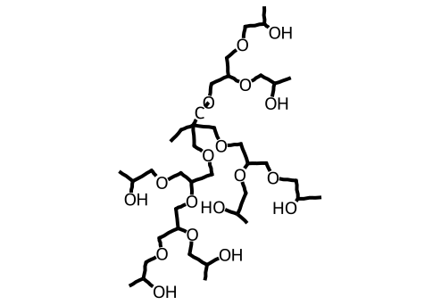 CCC(COCC(COCC(C)O)OCC(C)O)(COCC(COCC(C)O)OCC(C)O)COCC(COCC(C)O)OCC(COCC(C)O)OCC(C)O